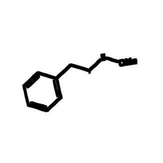 COS[CH]Cc1ccccc1